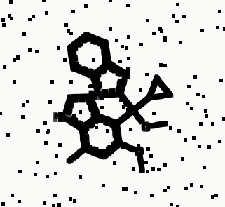 COc1cc(C)c2[nH]ccc2c1C(OC)(c1nc2ccccc2[nH]1)C1CC1